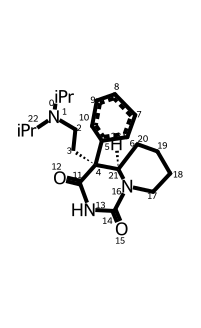 CC(C)N(CC[C@@]1(c2ccccc2)C(=O)NC(=O)N2CCCC[C@@H]21)C(C)C